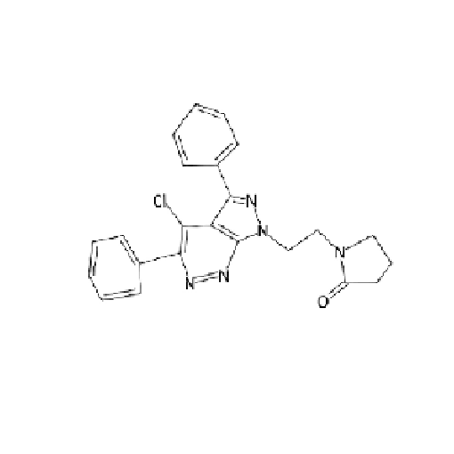 O=C1CCCN1CCn1nc(-c2ccccc2)c2c(Cl)c(-c3ccccc3)nnc21